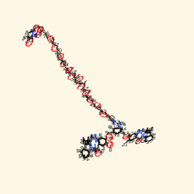 COc1cc2c(cc1OCc1cc(COc3cc4c(cc3C)C(=O)N3c5ccccc5C[C@H]3C=N4)cc(N(C)CCOCCOCCOCCOCCOCCOCCOCCOCCOCCOCCOCCOCCC(=O)ON3C(=O)CCC3=O)c1)N=C[C@@H]1Cc3ccccc3N1C2=O